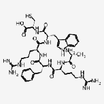 C[C@@H](N)C(=O)N[C@@H](CCCNC(=N)N)C(=O)N[C@H](Cc1ccccc1)C(=O)N[C@@H](CCCNC(=N)N)C(=O)N[C@@H](Cc1c[nH]c2ccccc12)C(=O)N[C@@H](CS)C(=O)O